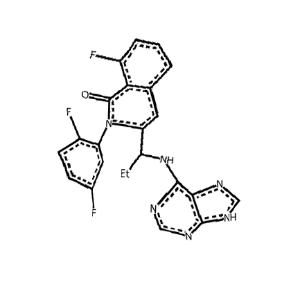 CCC(Nc1ncnc2[nH]cnc12)c1cc2cccc(F)c2c(=O)n1-c1cc(F)ccc1F